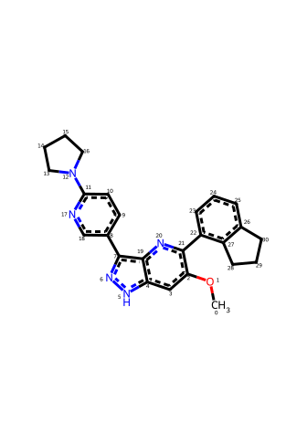 COc1cc2[nH]nc(-c3ccc(N4CCCC4)nc3)c2nc1-c1cccc2c1CCC2